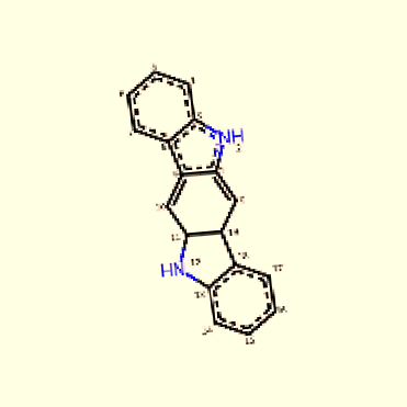 C1=c2[nH]c3ccccc3c2=CC2Nc3ccccc3C12